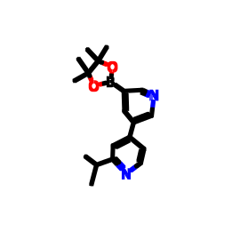 CC(C)c1cc(-c2cncc(B3OC(C)(C)C(C)(C)O3)c2)ccn1